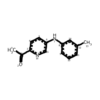 CC(=O)c1ccc(Nc2cccc(C)c2)cn1